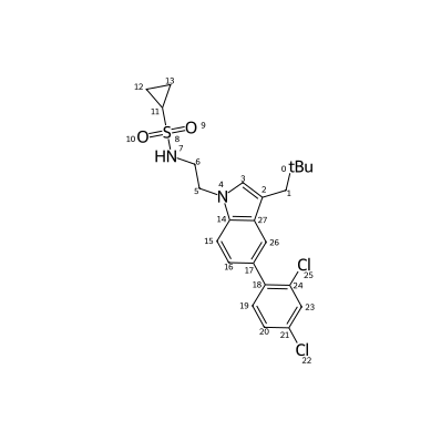 CC(C)(C)Cc1cn(CCNS(=O)(=O)C2CC2)c2ccc(-c3ccc(Cl)cc3Cl)cc12